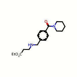 CCOC(=O)CCNCc1ccc(C(=O)N2CCCCC2)cc1